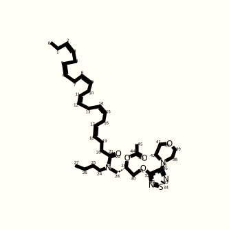 CC/C=C\C/C=C\C/C=C\C/C=C\C/C=C\C/C=C\CCC(=O)N(CCCC)C[C@@H](COc1nsnc1N1CCOCC1)OC(C)=O